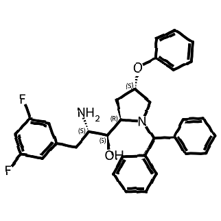 N[C@@H](Cc1cc(F)cc(F)c1)[C@H](O)[C@H]1C[C@H](Oc2ccccc2)CN1C(c1ccccc1)c1ccccc1